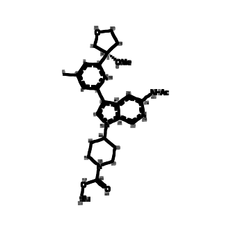 CO[C@@]1(c2cc(C)cc(-c3cn(C4CCN(C(=O)OC(C)(C)C)CC4)c4cnc(NC(C)=O)cc34)n2)CCOC1